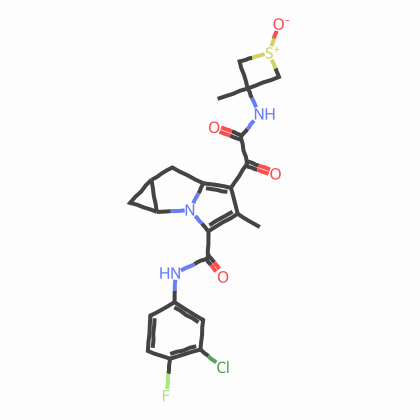 Cc1c(C(=O)C(=O)NC2(C)C[S+]([O-])C2)c2n(c1C(=O)Nc1ccc(F)c(Cl)c1)C1CC1C2